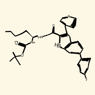 CCCC[C@@H](CNC(=O)c1[nH]c2cc(-c3ccc(F)cc3)ccc2c1-c1ccncc1)NC(=O)OC(C)(C)C